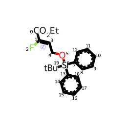 CCOC(=O)/C(F)=C/CO[Si](c1ccccc1)(c1ccccc1)C(C)(C)C